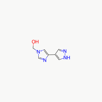 OC[N+]1C=NC(c2cn[nH]c2)=C1